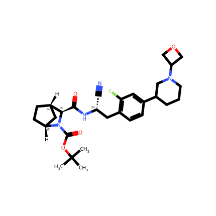 CC(C)(C)OC(=O)N1[C@@H]2CC[C@@H](C2)[C@H]1C(=O)N[C@H](C#N)Cc1ccc(C2CCCN(C3COC3)C2)cc1F